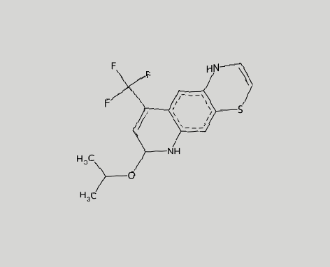 CC(C)OC1C=C(C(F)(F)F)c2cc3c(cc2N1)SC=CN3